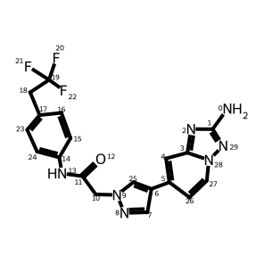 Nc1nc2cc(-c3cnn(CC(=O)Nc4ccc(CC(F)(F)F)cc4)c3)ccn2n1